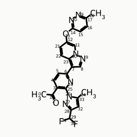 CC(=O)c1ccc(-c2cnn3cc(Oc4ccc(C)nn4)ccc23)nc1-n1nc(C(F)F)cc1C